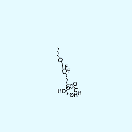 C=C(CO)C(=O)OCC(CCCCc1ccc(/C=C/c2ccc(CCCCC)cc2)c(F)c1F)COC(O)C(=C)CO